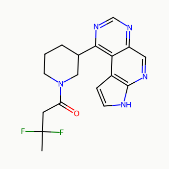 CC(F)(F)CC(=O)N1CCCC(c2ncnc3cnc4[nH]ccc4c23)C1